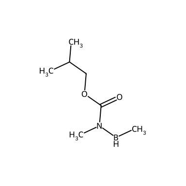 CBN(C)C(=O)OCC(C)C